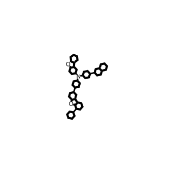 c1ccc(-c2cccc3c2oc2ccc(-c4ccc(N(c5ccc(-c6ccc7ccccc7c6)cc5)c5ccc6oc7ccccc7c6c5)cc4)cc23)cc1